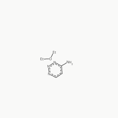 CCOCC.Nc1ccnnn1